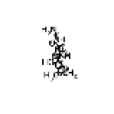 COc1cc(O)c(C(=O)Nc2nc(C(=O)NCCN)cs2)cc1OC.Cl